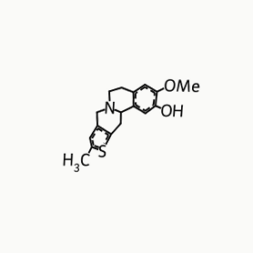 COc1cc2c(cc1O)C1Cc3sc(C)cc3CN1CC2